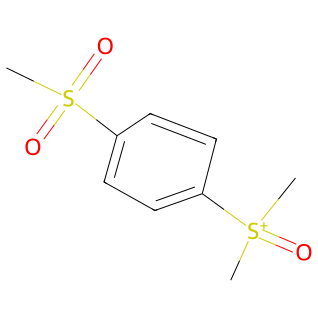 CS(=O)(=O)c1ccc([S+](C)(C)=O)cc1